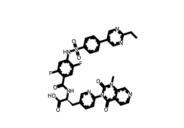 CCc1ncc(-c2ccc(S(=O)(=O)Nc3cc(F)c(C(=O)N[C@@H](Cc4ccc(-n5c(=O)c6ccncc6n(C)c5=O)nc4)C(=O)O)cc3F)cc2)cn1